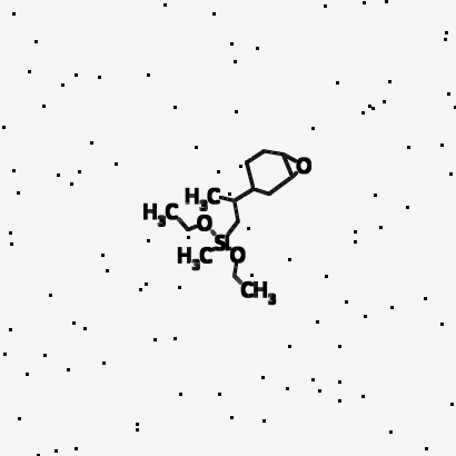 CCO[Si](C)(CC(C)C1CCC2OC2C1)OCC